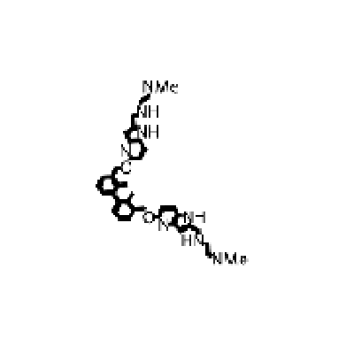 CNCCNCc1cc2nc(OCc3cccc(-c4cccc(COc5ccc6[nH]c(CNCCNC)cc6n5)c4C)c3C)ccc2[nH]1